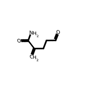 C=C(CCC=O)C(N)=O